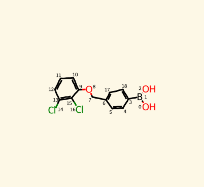 OB(O)c1ccc(COc2cccc(Cl)c2Cl)cc1